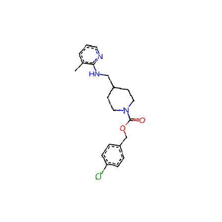 Cc1cccnc1NCC1CCN(C(=O)OCc2ccc(Cl)cc2)CC1